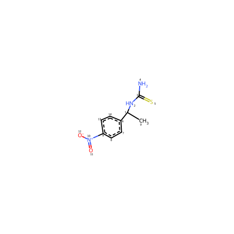 CC(NC(N)=S)c1ccc([N+](=O)[O-])cc1